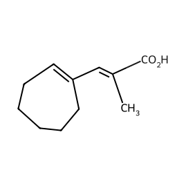 CC(=CC1=CCCCCC1)C(=O)O